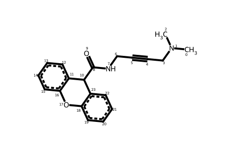 CN(C)CC#CCNC(=O)C1c2ccccc2Oc2ccccc21